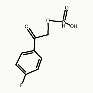 O=C(CO[PH](=O)O)c1ccc(F)cc1